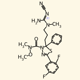 CON(C)C(=O)N1N=C(c2cc(F)ccc2F)SC1(CCCN(C)/C(N)=N/C#N)c1ccccc1